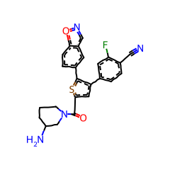 N#Cc1ccc(-c2cc(C(=O)N3CCCC(N)C3)sc2-c2ccc3oncc3c2)cc1F